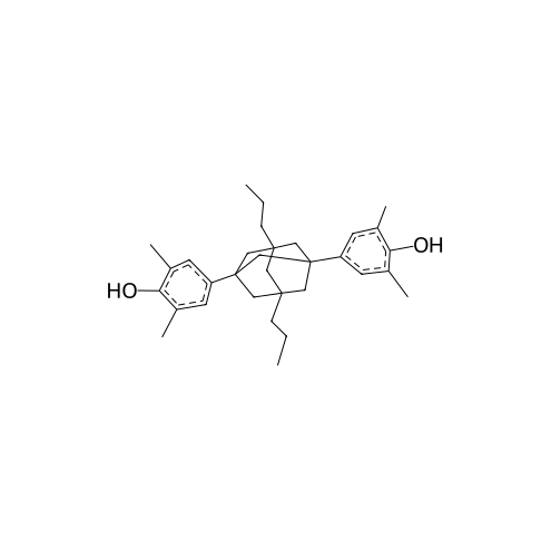 CCCC12CC3(CCC)CC(c4cc(C)c(O)c(C)c4)(C1)CC(c1cc(C)c(O)c(C)c1)(C2)C3